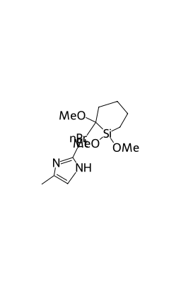 CCCC1(OC)CCCC[Si]1(OC)OC.CCc1nc(C)c[nH]1